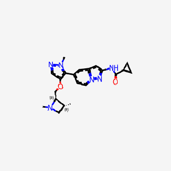 C[C@@H]1CN(C)[C@H]1COc1cnn(C)c1-c1ccn2nc(NC(=O)C3CC3)cc2c1